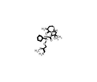 C=N/C(=C\N)COC[C@@H](NC(=O)[C@H]1N2C(=O)[C@@H](N)CCS[C@H]2CC1(C)C)c1ccccc1